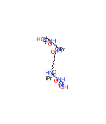 CC(C)CC(/C=C/CC(=O)NC1CC(C)(C)N(O)C(C)(C)C1)CNC(=O)CCCCCCCCCCC(=O)N[C@H](/C=C/CC(=O)NC1CC(C)(C)N(O)C(C)(C)C1)CC(C)C